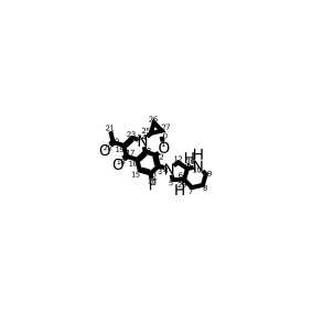 COc1c(N2C[C@@H]3CCCN[C@@H]3C2)c(F)cc2c(=O)c(C(C)=O)cn(C3CC3)c12